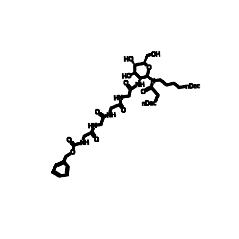 CCCCCCCCCCCCCCN(C(=O)CCCCCCCCCCC)[C@@H]1O[C@H](CO)[C@@H](O)[C@H](O)[C@H]1NC(=O)CNC(=O)CNC(=O)CNC(=O)CNC(=O)OCc1ccccc1